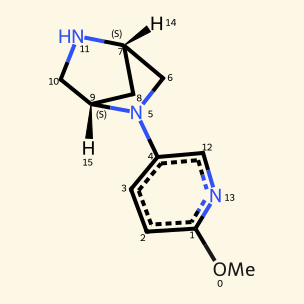 COc1ccc(N2C[C@@H]3C[C@H]2CN3)cn1